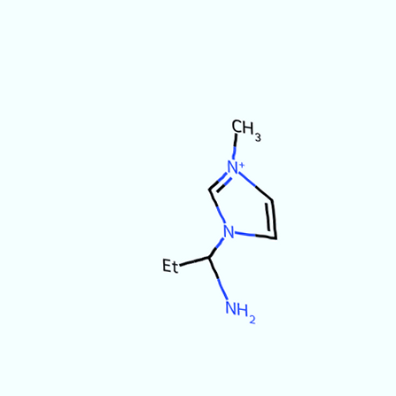 CCC(N)n1cc[n+](C)c1